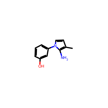 Cc1ccn(-c2cccc(O)c2)c1N